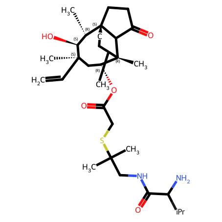 C=C[C@]1(C)C[C@@H](OC(=O)CSC(C)(C)CNC(=O)C(N)C(C)C)[C@]2(C)C(C)CC[C@]3(CCC(=O)C32)[C@@H](C)[C@@H]1O